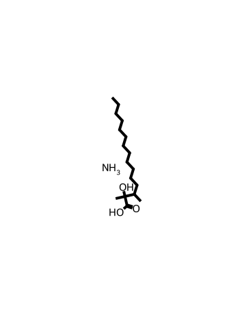 CCCCCCCCCCCCC(C)C(C)(O)C(=O)O.N